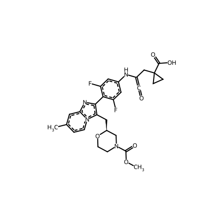 COC(=O)N1CCO[C@@H](Cc2c(-c3c(F)cc(NC(=C=O)CC4(C(=O)O)CC4)cc3F)nc3cc(C)ccn23)C1